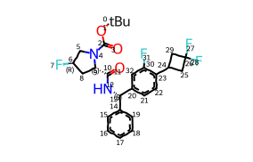 CC(C)(C)OC(=O)N1C[C@H](F)C[C@H]1C(=O)N[C@@H](c1ccccc1)c1ccc(C2CC(F)(F)C2)c(F)c1